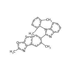 Cc1nc2c(o1)sc1cc(-c3nc4ccccc4n3-c3c(C)cccc3C)c(C)cc12